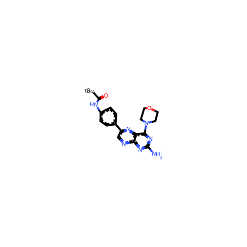 CC(C)(C)C(=O)Nc1ccc(-c2cnc3nc(N)nc(N4CCOCC4)c3n2)cc1